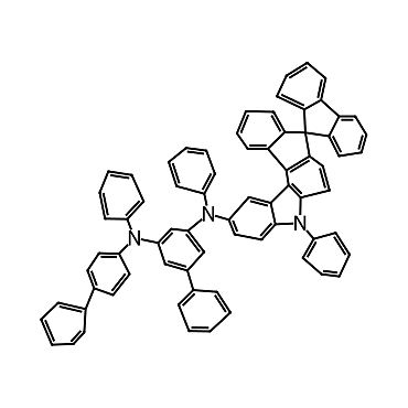 c1ccc(-c2ccc(N(c3ccccc3)c3cc(-c4ccccc4)cc(N(c4ccccc4)c4ccc5c(c4)c4c6c(ccc4n5-c4ccccc4)C4(c5ccccc5-c5ccccc54)c4ccccc4-6)c3)cc2)cc1